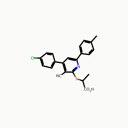 Cc1ccc(-c2cc(-c3ccc(Cl)cc3)c(C#N)c(SC(C)C(=O)O)n2)cc1